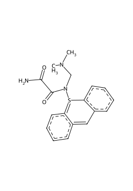 CN(C)CN(C(=O)C(N)=O)S1=c2ccccc2=Cc2ccccc21